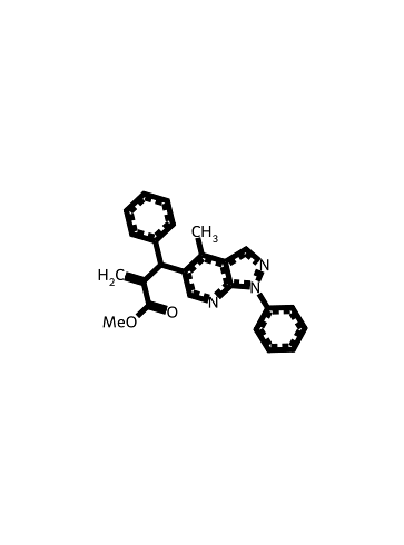 C=C(C(=O)OC)C(c1ccccc1)c1cnc2c(cnn2-c2ccccc2)c1C